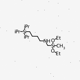 CCO[Si](C)(CNCCCC[Si](C(C)C)(C(C)C)C(C)C)OCC